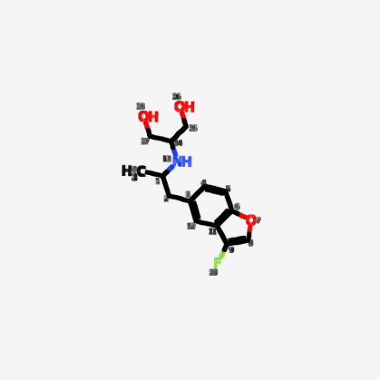 CC(Cc1ccc2occ(F)c2c1)NC(CO)CO